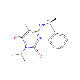 Cc1c(N[C@@H](C)c2ccccc2)[nH]c(=O)n(C(C)C)c1=O